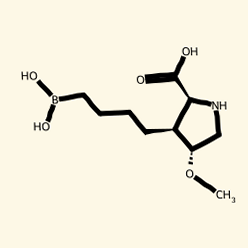 CO[C@H]1CN[C@H](C(=O)O)[C@@H]1CCCCB(O)O